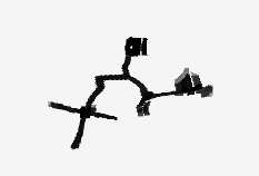 C[N+](C)(C)CC(O)PP